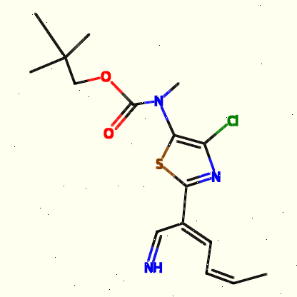 C/C=C\C=C(/C=N)c1nc(Cl)c(N(C)C(=O)OCC(C)(C)C)s1